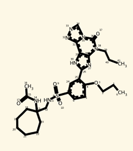 CCCOc1ccc(S(=O)(=O)NCC2(NC(C)=O)CCCCCC2)cc1-c1nc2c([nH]1)c1nncn1c(=O)n2CCC